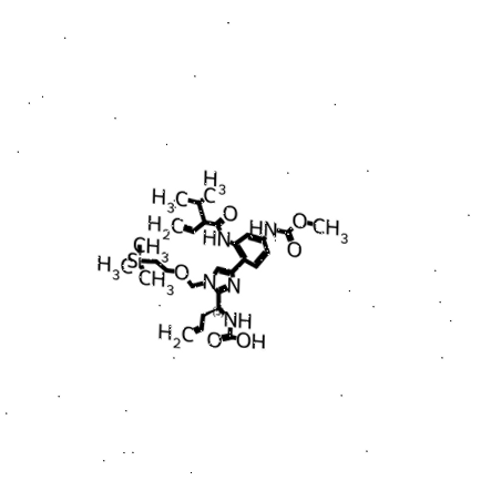 C=CC[C@H](NC(=O)O)c1nc(-c2ccc(NC(=O)OC)cc2NC(=O)C(C=C)C(C)C)cn1COCC[Si](C)(C)C